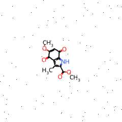 COC(=O)c1[nH]c2c(c1C)C(=O)C(OC)=CC2=O